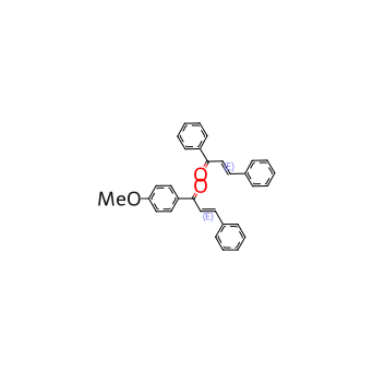 COc1ccc(C(=O)/C=C/c2ccccc2)cc1.O=C(/C=C/c1ccccc1)c1ccccc1